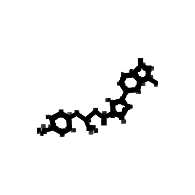 Cc1n[nH]c2ccc(-c3nnc(NCC(N)Cc4ccc(C(F)(F)F)cc4)s3)cc12